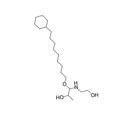 CC(O)C(NCCO)OCCCCCCCCCC1CCCCC1